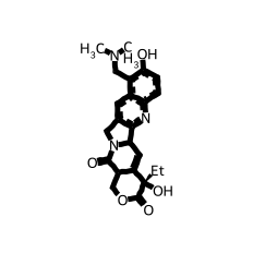 CC[C@@]1(O)C(=O)OCC2C(=O)N3Cc4cc5c(CN(C)C)c(O)ccc5nc4C3C=C21